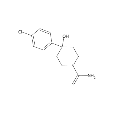 C=C(N)N1CCC(O)(c2ccc(Cl)cc2)CC1